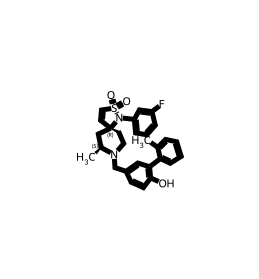 Cc1ccccc1-c1cc(CN2CC[C@]3(C=CS(=O)(=O)N3c3cccc(F)c3)C[C@@H]2C)ccc1O